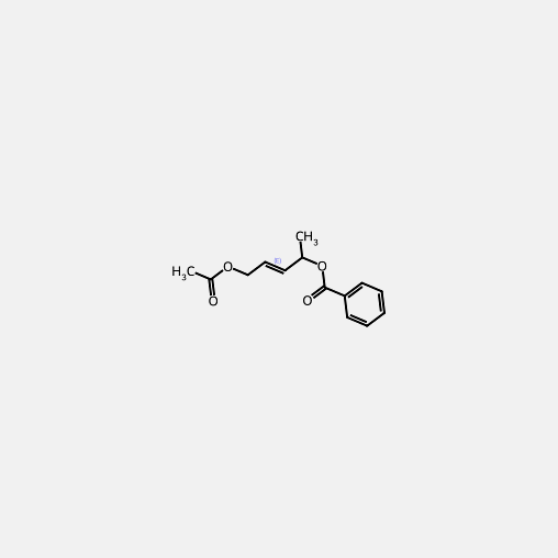 CC(=O)OC/C=C/C(C)OC(=O)c1ccccc1